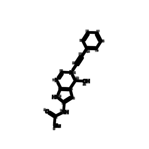 CC(C)(C)C(=O)Nc1cc2c([nH]1)N=CN(C#Cc1ccccc1)C2O